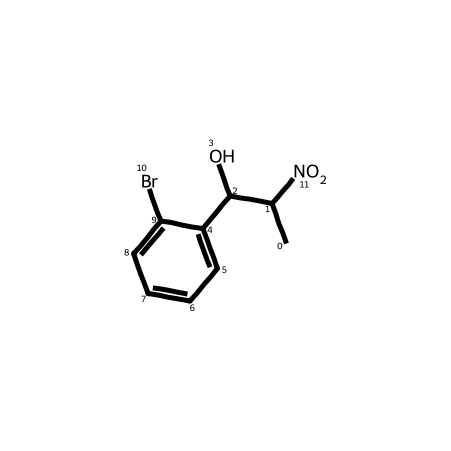 CC(C(O)c1ccccc1Br)[N+](=O)[O-]